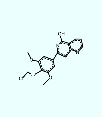 COc1cc(-c2cc3ncccc3c(O)n2)cc(OC)c1OCCl